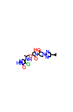 CC(COC1CCN(C2CCN(c3ncc(C4CC4)cn3)CC2O)C1=O)Nc1cn[nH]c(=O)c1Cl